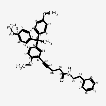 COc1ccc(C(C)(c2ccc(OC)cc2)c2ccc(OC)c(C#CCCC(=O)NCCc3ccccc3)c2)cc1